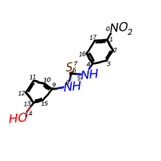 O=[N+]([O-])c1ccc(NC(=S)Nc2cccc(O)c2)cc1